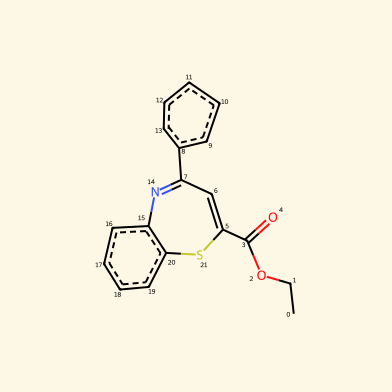 CCOC(=O)C1=CC(c2ccccc2)=Nc2ccccc2S1